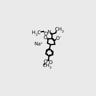 CCO/N=C(/CC)C1=C([O-])CC(c2ccc(C(=O)OC)cc2)CC1=O.[Na+]